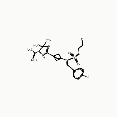 C=C(C)[C@@H]1NC(C23CC(N(Cc4ccc(Cl)cc4)S(=O)(=O)CCCF)(C2)C3)=NC1(C)C